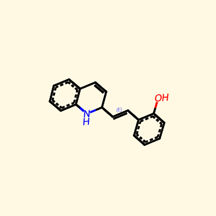 Oc1ccccc1/C=C/C1C=Cc2ccccc2N1